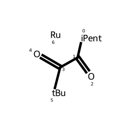 CCCC(C)C(=O)C(=O)C(C)(C)C.[Ru]